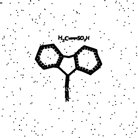 CS(=O)(=O)O.[N-]=[N+]=C1c2ccccc2-c2ccccc21